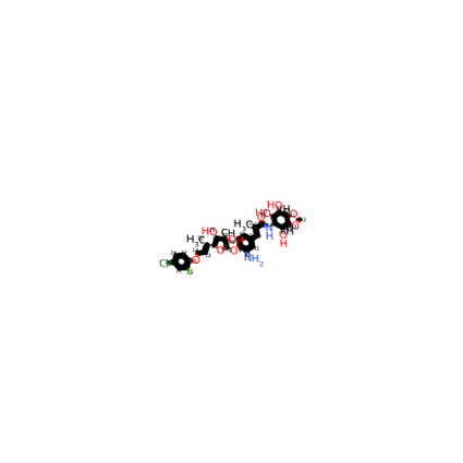 CC(=Cc1ccc(O[C@@H]2O[C@H](C(C)=CCOc3ccc(Cl)cc3F)[C@@H](O)[C@@]2(C)O)c(N)c1)C(=O)N[C@@H]1[C@H](O)[C@@H](O)[C@H]2OCO[C@H]2[C@@H]1O